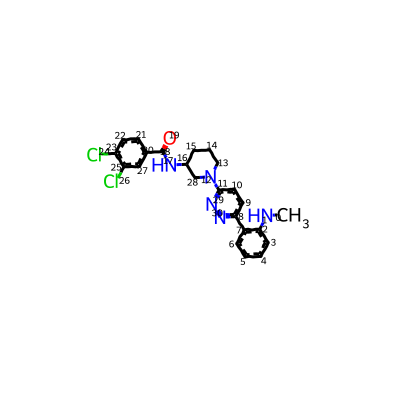 CNc1ccccc1-c1ccc(N2CCCC(NC(=O)c3ccc(Cl)c(Cl)c3)C2)nn1